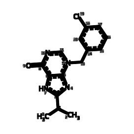 CC(C)c1nc2c([nH]1)c(=O)ncn2Cc1cccc(Cl)c1